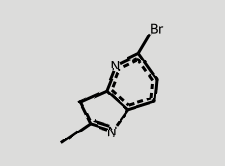 CC1=Nc2ccc(Br)nc2C1